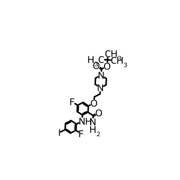 CC(C)(C)OC(=O)N1CCN(CCOc2cc(F)cc(Nc3ccc(I)cc3F)c2C(N)=O)CC1